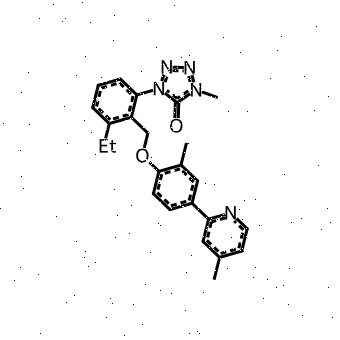 CCc1cccc(-n2nnn(C)c2=O)c1COc1ccc(-c2cc(C)ccn2)cc1C